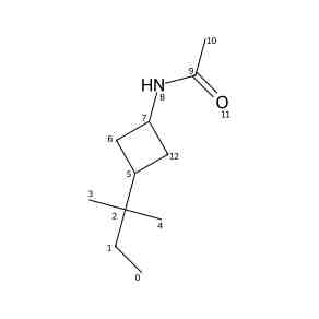 CCC(C)(C)C1CC(NC(C)=O)C1